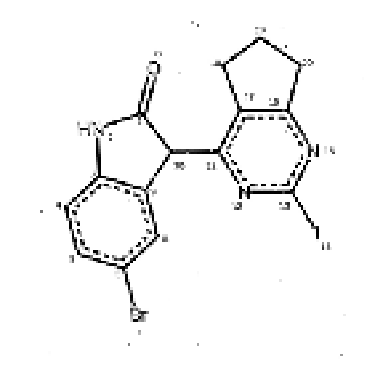 O=C1Nc2ccc(Br)cc2C1c1nc(I)nc2c1CCC2